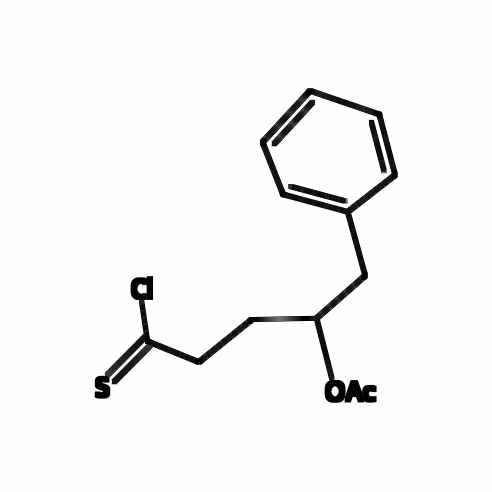 CC(=O)OC(CCC(=S)Cl)Cc1ccccc1